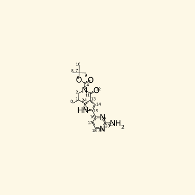 CC1CN(C(=O)OC(C)(C)C)C(=O)c2cc(-c3ccnc(N)n3)[nH]c21